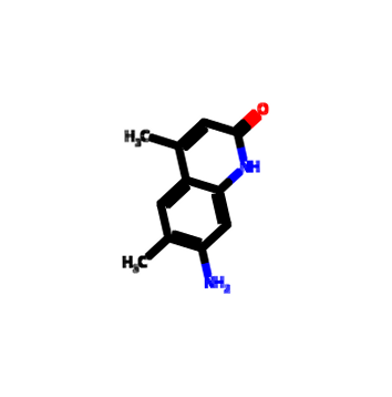 Cc1cc2c(C)cc(=O)[nH]c2cc1N